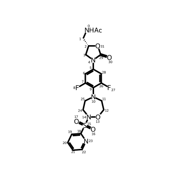 CC(=O)NC[C@H]1CN(c2cc(F)c(N3CCON(S(=O)(=O)c4ccccn4)CC3)c(F)c2)C(=O)O1